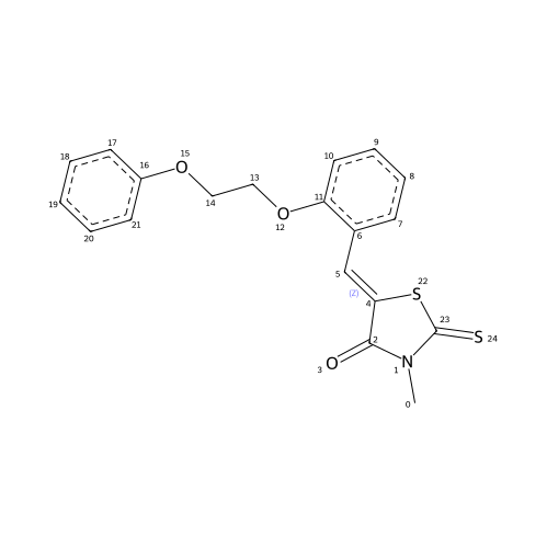 CN1C(=O)/C(=C/c2ccccc2OCCOc2ccccc2)SC1=S